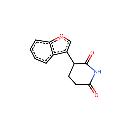 O=C1CCC(c2coc3ccccc23)C(=O)N1